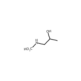 CC(O)CNC(=O)O